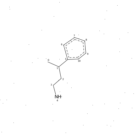 CC(CC[NH])c1ccccc1